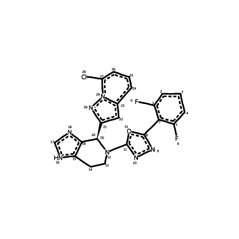 Fc1cccc(F)c1-c1nnc(N2CCc3[nH]cnc3[C@H]2c2cc3cccc(Cl)n3n2)o1